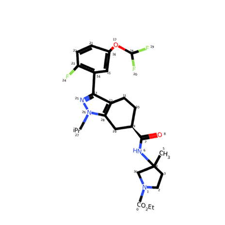 CCOC(=O)N1CCC(C)(NC(=O)[C@@H]2CCc3c(-c4cc(OC(F)F)ccc4F)nn(C(C)C)c3C2)C1